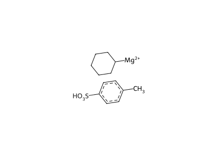 Cc1ccc(S(=O)(=O)O)cc1.[Mg+2][CH]1CCCCC1